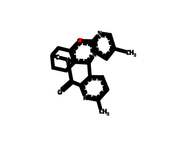 Cc1ccc(OC2CC3CCC2N(C(=O)c2nc(C)ccc2-c2ncccn2)C3)nc1